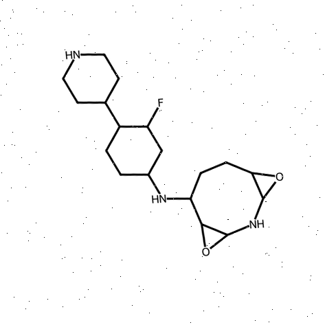 FC1CC(NC2CCC3OC3NC3OC23)CCC1C1CCNCC1